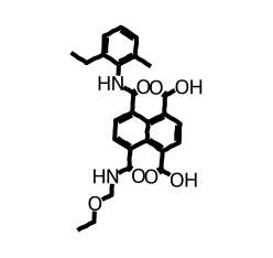 CCOCNC(=O)c1ccc(C(=O)Nc2c(C)cccc2CC)c2c(C(=O)O)ccc(C(=O)O)c12